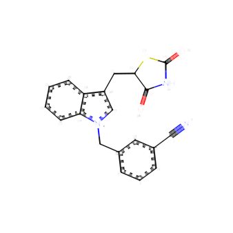 N#Cc1cccc(Cn2cc(CC3SC(=O)NC3=O)c3ccccc32)c1